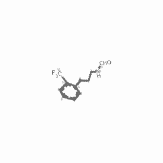 O=[C]NCCCc1ccccc1C(F)(F)F